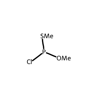 COP(Cl)SC